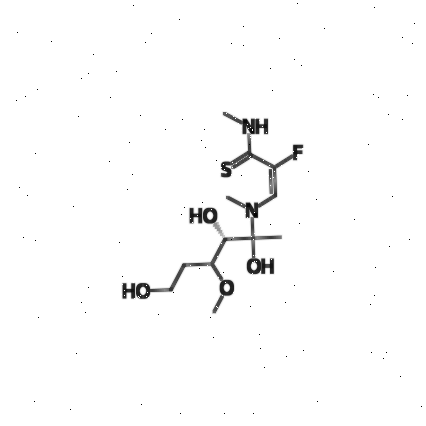 CNC(=S)/C(F)=C\N(C)C(C)(O)[C@@H](O)C(CCO)OC